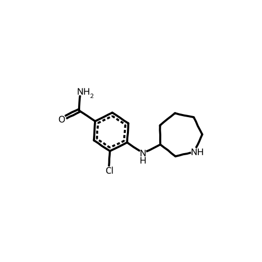 NC(=O)c1ccc(NC2CCCCNC2)c(Cl)c1